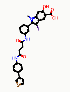 Cn1c(-c2cccc(NC(=O)CCC(=O)Nc3ccc(-c4ccsc4)cc3)c2)c(I)c2cc(C(=O)O)c(O)cc21